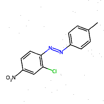 Cc1ccc(N=Nc2ccc([N+](=O)[O-])cc2Cl)cc1